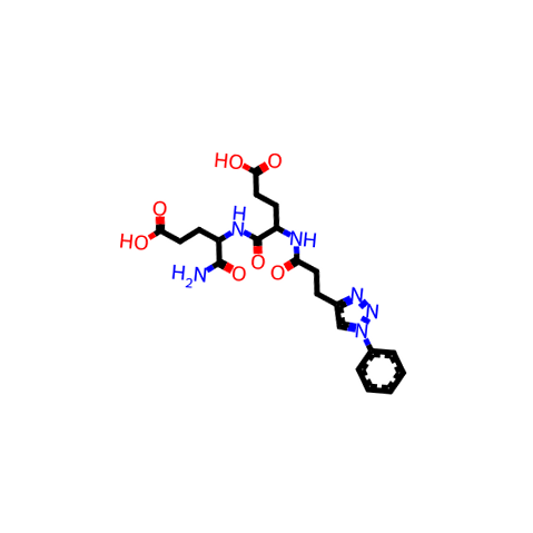 NC(=O)C(CCC(=O)O)NC(=O)C(CCC(=O)O)NC(=O)CCc1cn(-c2ccccc2)nn1